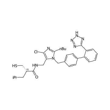 CCCCc1nc(Cl)c(CNC(=O)[C@@H](CS)CC(C)C)n1Cc1ccc(-c2ccccc2-c2nn[nH]n2)cc1